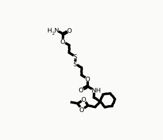 CC1OC(CC2(CNC(=O)OCCSSCCOC(N)=O)CCCCC2)O1